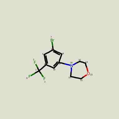 FC(F)(F)c1cc(Br)cc(N2CCOCC2)c1